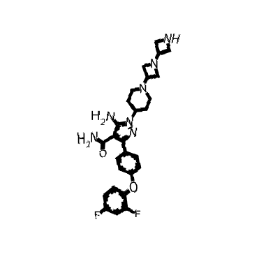 NC(=O)c1c(-c2ccc(Oc3ccc(F)cc3F)cc2)nn(C2CCN(C3CN(C4CNC4)C3)CC2)c1N